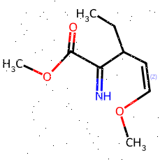 CCC(/C=C\OC)C(=N)C(=O)OC